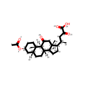 CC(=O)O[C@@H]1CC[C@@]2(C)[C@H](CC[C@H]3[C@@H]4CC[C@H]([C@H](C)CC(=O)C(=O)O)[C@@]4(C)CC(=O)[C@@H]32)C1